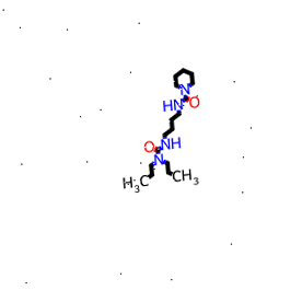 CCCN(CCC)C(=O)NCCCCNC(=O)N1CCCCC1